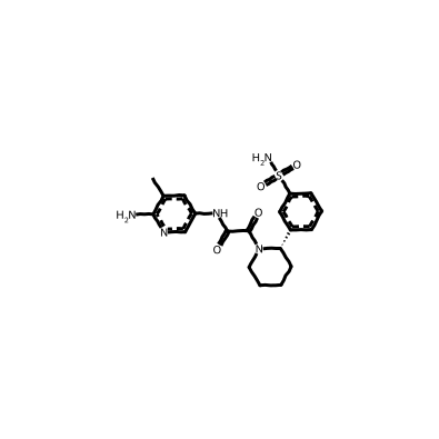 Cc1cc(NC(=O)C(=O)N2CCCC[C@H]2c2cccc(S(N)(=O)=O)c2)cnc1N